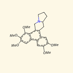 COc1cc2c3c(c4c(OC)c(OC)c(OC)cc4c2cc1OC)CN1CCCC1C3